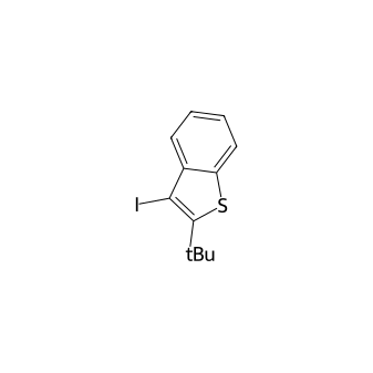 CC(C)(C)c1sc2ccccc2c1I